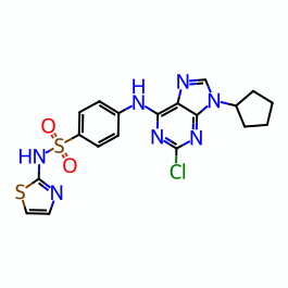 O=S(=O)(Nc1nccs1)c1ccc(Nc2nc(Cl)nc3c2ncn3C2CCCC2)cc1